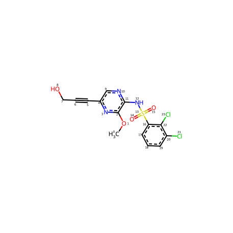 COc1nc(C#CCO)cnc1NS(=O)(=O)c1cccc(Cl)c1Cl